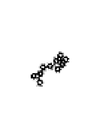 c1ccc(N(c2ccc(-c3cccc(-c4ccc5c(c4)c4ccccc4n5-c4ccccc4)c3)cc2)c2ccc3c(c2)C(c2ccccc2)(c2ccccc2)c2ccccc2-3)cc1